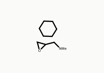 C1CCCCC1.CNCC1CO1